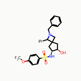 CC(C)C1N(Cc2ccccc2)CC12C[C@@H](O)[C@@H](NS(=O)(=O)c1ccc(OC(F)(F)F)cc1)C2